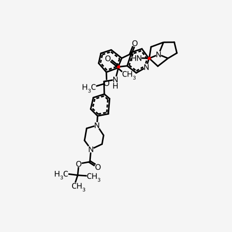 COc1cccc(C(=O)NC2CC3CCC(C2)N3c2ccc(C(=O)NCc3ccc(N4CCN(C(=O)OC(C)(C)C)CC4)cc3)cn2)c1C